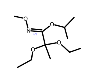 CCOC(C)(OCC)/C(=N/OC)OC(C)C